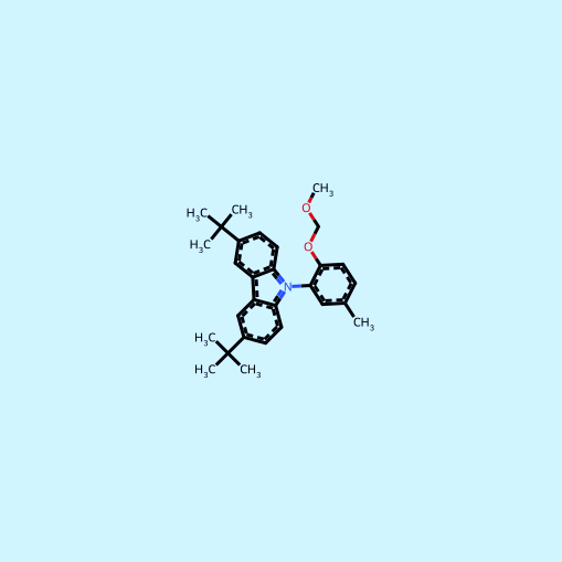 COCOc1ccc(C)cc1-n1c2ccc(C(C)(C)C)cc2c2cc(C(C)(C)C)ccc21